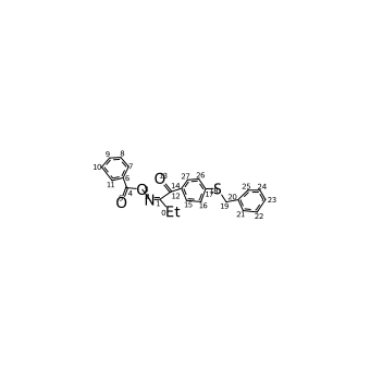 CCC(=NOC(=O)c1ccccc1)C(=O)c1ccc(SCc2ccccc2)cc1